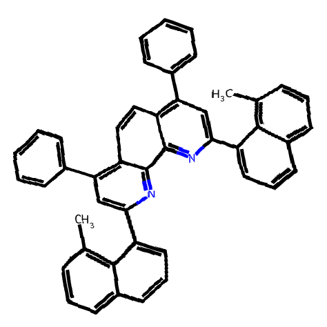 Cc1cccc2cccc(-c3cc(-c4ccccc4)c4ccc5c(-c6ccccc6)cc(-c6cccc7cccc(C)c67)nc5c4n3)c12